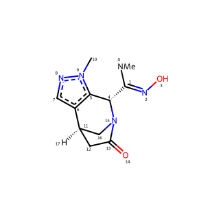 CN/C(=N\O)[C@H]1c2c(cnn2C)[C@@H]2CC(=O)N1C2